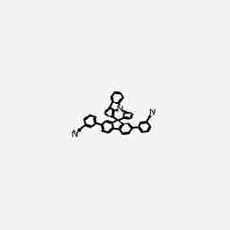 N#Cc1cccc(-c2ccc3c(c2)C2(c4cc(-c5cccc(C#N)c5)ccc4-3)c3ccccc3-n3c4ccccc4c4cccc2c43)c1